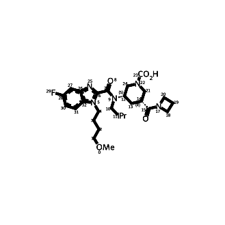 COCCCCn1c(C(=O)N(CC(C)C)[C@H]2C[C@@H](C(=O)N3CCC3)CN(C(=O)O)C2)nc2cc(F)ccc21